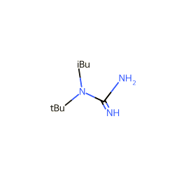 CCC(C)N(C(=N)N)C(C)(C)C